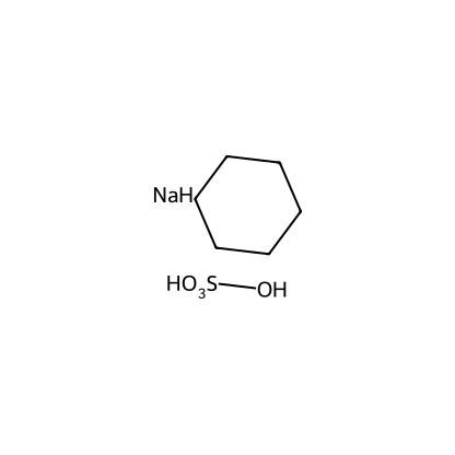 C1CCCCC1.O=S(=O)(O)O.[NaH]